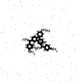 CCCCCCC1CCC(c2ccc(C(CCC)c3ccc(N)cc3C)cc2)(c2ccc(C(CCC)c3ccc(N)cc3C)cc2)CC1